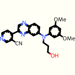 COc1cc(OC)cc(N(CCCO)c2ccc3ncc(-c4ccncc4C#N)nc3c2)c1